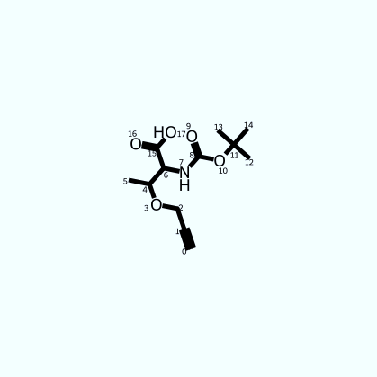 C#CCOC(C)C(NC(=O)OC(C)(C)C)C(=O)O